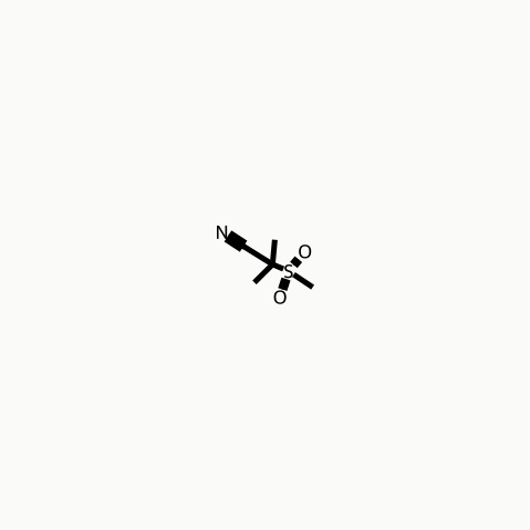 CC(C)(C#N)S(C)(=O)=O